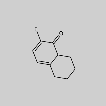 O=C1C(F)=CC=C2CCCCC12